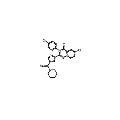 N=C(c1csc(-c2nc3ccc(Cl)cc3c(=O)n2-c2ccc(Cl)cn2)c1)N1CCCCC1